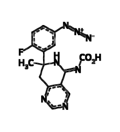 CC1(c2cc(N=[N+]=[N-])ccc2F)Cc2ncncc2/C(=N/C(=O)O)N1